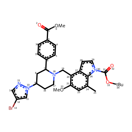 COC(=O)c1ccc(C2CC(n3cc(Br)cn3)CCN2Cc2c(OC)cc(C)c3c2ccn3C(=O)OC(C)(C)C)cc1